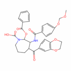 COCOc1ccc(C(=O)NC2C(C(=O)c3ccc4c(c3)OCCO4)CCCN(C(=O)O)C2OC(=O)c2ccccc2)cc1